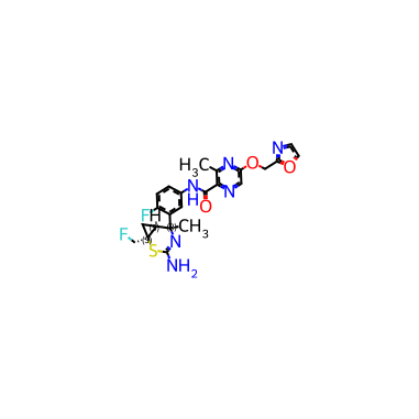 Cc1nc(OCc2ncco2)cnc1C(=O)Nc1ccc(F)c([C@]2(C)N=C(N)S[C@@]3(CF)C[C@H]32)c1